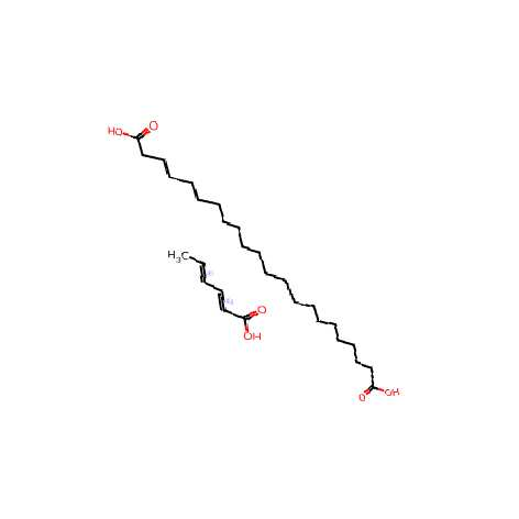 C/C=C/C=C/C(=O)O.O=C(O)CCCCCCCCCCCCCCCCCCCCC(=O)O